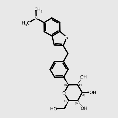 CN(C)c1ccc2sc(Cc3cccc([C@@H]4O[C@H](CO)[C@@H](O)[C@H](O)[C@H]4O)c3)cc2c1